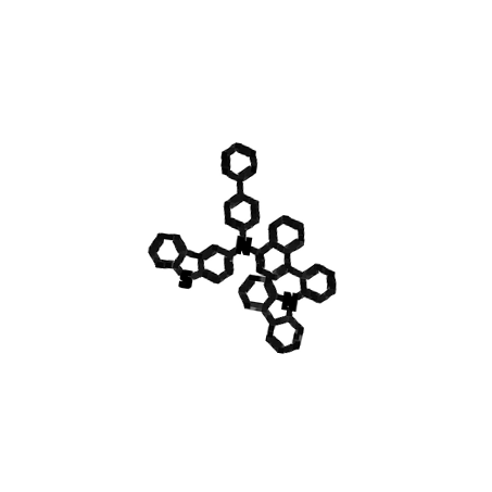 C1=CC2c3ccccc3N(c3ccccc3-c3ccc(N(c4ccc(-c5ccccc5)cc4)c4ccc5sc6ccccc6c5c4)c4ccccc34)C2C=C1